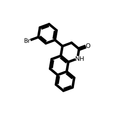 O=C1CC(c2cccc(Br)c2)c2ccc3ccccc3c2N1